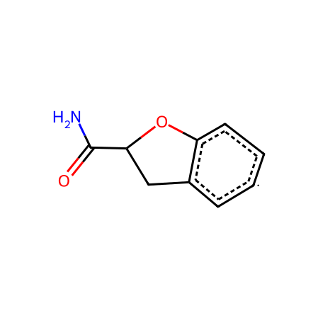 NC(=O)C1Cc2c[c]ccc2O1